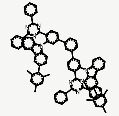 Cc1cc(C)c(-c2ccc3c(c2)c2ccccc2n3-c2cc(-c3cccc(-c4ccc(-c5nc(-c6ccccc6)nc(-c6ccccc6)n5)c(-n5c6ccccc6c6cc(-c7c(C)cc(C)cc7C)ccc65)c4)c3)ccc2-c2nc(-c3ccccc3)nc(-c3ccccc3)n2)c(C)c1